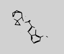 COc1cccc2cc(C(=O)N[C@@H]3C4CCN(CC4)C34CC4)sc12.Cl